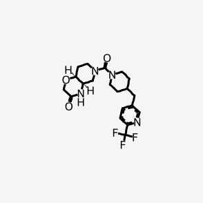 O=C1CO[C@H]2CCN(C(=O)N3CCC(Cc4ccc(C(F)(F)F)nc4)CC3)C[C@H]2N1